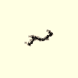 Cc1ncsc1-c1ccc(CNC(=O)[C@@H]2C[C@@H](O)CN2C(=O)[C@@H](NC(=O)COc2cnc(N3CCN(CC(=O)Nc4nc5ccc(-c6ccc7c(c6)N(C(=O)OC(C)C)CCO7)cc5s4)CC3)nc2)C(C)(C)C)cc1